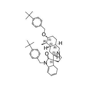 C[C@@H]1[C@H]2C[C@@H]3N(CC[C@@]34C(=O)N(Cc3ccc(C(C)(C)C)cc3)C3=CC=CCC34)C[C@@H]2CC[C@@H]1OCc1ccc(C(C)(C)C)cc1